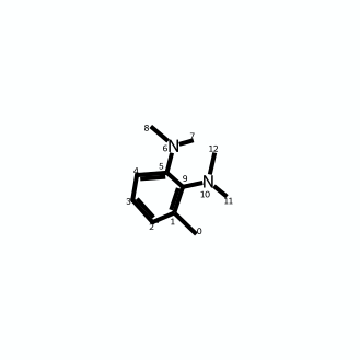 Cc1[c]ccc(N(C)C)c1N(C)C